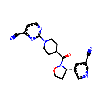 N#Cc1cncc([C@@H]2CCON2C(=O)C2CCN(c3nccc(C#N)n3)CC2)c1